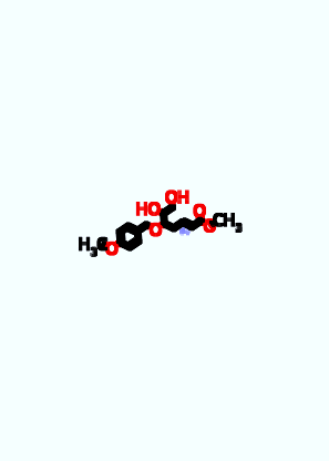 COC(=O)/C=C/CC(OCc1ccc(OC)cc1)C(O)CO